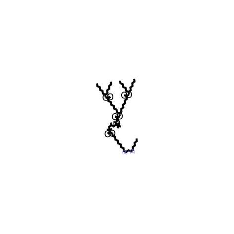 CCCCC/C=C\C/C=C\CCCCCCCCOC(=O)C(C)(C)CC(C)CN(CSC(=O)OC(CCCCCCCC(=O)OC(CCCCCC)CCCCCC)CCCCCCCC(=O)OC(CCCCCC)CCCCCC)C(C)(C)C